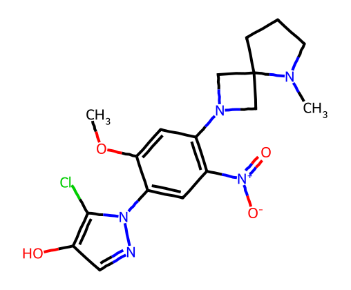 COc1cc(N2CC3(CCCN3C)C2)c([N+](=O)[O-])cc1-n1ncc(O)c1Cl